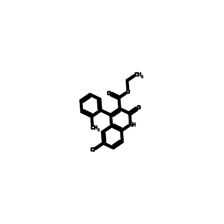 CCOC(=O)c1c(-c2ccccc2C)c2cc(Cl)ccc2[nH]c1=O